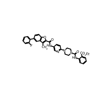 CCOC(=O)c1ccccc1NC(=O)N1CCN(c2ccc(NC(=O)c3oc4ccc(-c5ccccc5F)cc4c3C)cn2)CC1